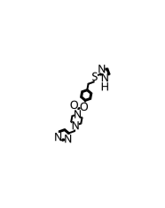 O=C(Oc1ccc(CCSc2ncc[nH]2)cc1)N1CCN(Cc2ccncn2)CC1